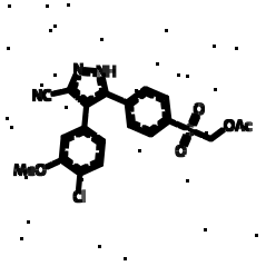 COc1cc(-c2c(C#N)n[nH]c2-c2ccc(S(=O)(=O)COC(C)=O)cc2)ccc1Cl